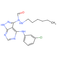 CCCCCCNN(C=O)c1n[nH]c2ncnc(Nc3cccc(Cl)c3)c12